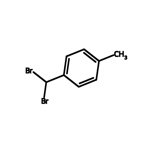 Cc1ccc(C(Br)Br)cc1